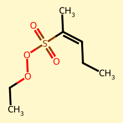 CCC=C(C)S(=O)(=O)OOCC